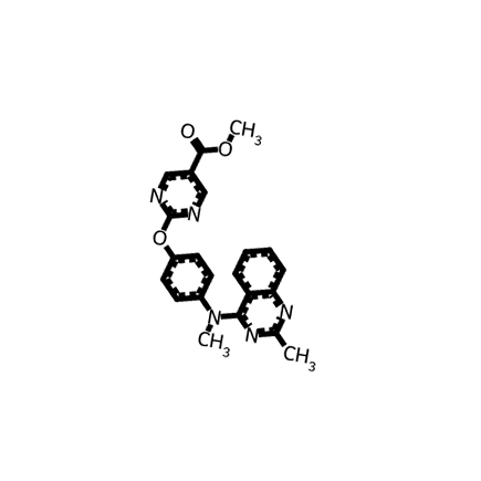 COC(=O)c1cnc(Oc2ccc(N(C)c3nc(C)nc4ccccc34)cc2)nc1